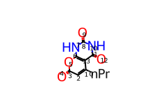 CCCc1cc(=O)oc2[nH]c(=O)[nH]c(=O)c12